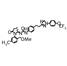 COCc1ccc(C)cc1N1C(=O)CSC1=NC(=O)Nc1ccc(CCc2ncn(-c3ccc(OC(F)(F)F)cc3)n2)cc1